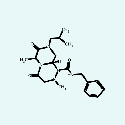 CC(C)CN1C[C@H]2N(C(=O)CN(C)N2C(=O)NCc2ccccc2)[C@@H](C)C1=O